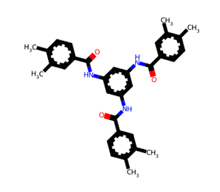 Cc1ccc(C(=O)Nc2cc(NC(=O)c3ccc(C)c(C)c3)cc(NC(=O)c3ccc(C)c(C)c3)c2)cc1C